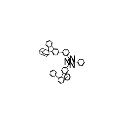 c1ccc(-c2nc(-c3cccc(-c4ccc5c(c4)-c4ccccc4C54C5CC6CC(C5)CC4C6)c3)nc(-c3ccc4c(c3)oc3cccc(-c5ccccc5)c34)n2)cc1